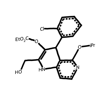 CCOC(=O)OC1=C(CO)Nc2ccnc(OC(C)C)c2C1c1ccccc1Cl